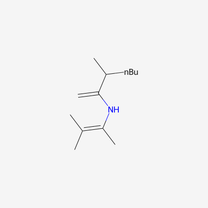 C=C(NC(C)=C(C)C)C(C)CCCC